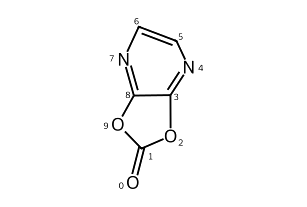 O=c1oc2nccnc2o1